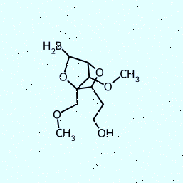 BC1OC2(COC)C(CCO)OC1C2OC